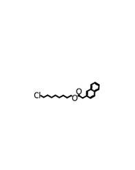 O=C(Cc1ccc2ccccc2c1)OCCCCCCCCCl